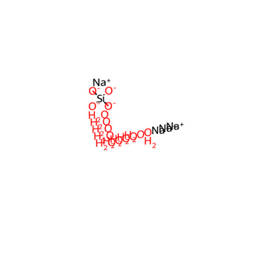 O.O.O.O.O.O.O.O.O.O.[Na+].[Na+].[Na+].[Na+].[O-][Si]([O-])([O-])[O-]